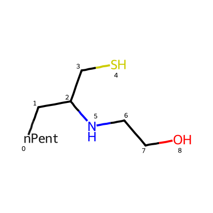 CCCCCCC(CS)NCCO